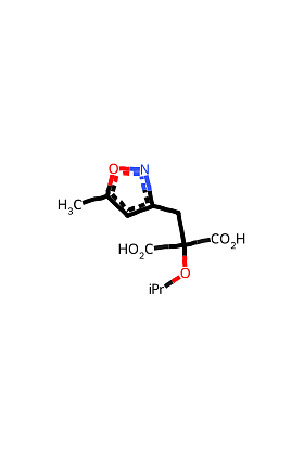 Cc1cc(CC(OC(C)C)(C(=O)O)C(=O)O)no1